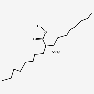 CCCCCCCCC(CCCCCCCC)C(=O)OS.[SnH2]